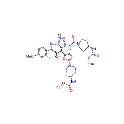 [C-]#[N+]c1c(-c2ccc(OC)cc2F)nc2[nH]nc(NC(=O)N3CCC(NC(=O)OC(C)(C)C)CC3)c2c1-c1ccc(N2CCC(NC(=O)OC(C)(C)C)CC2)o1